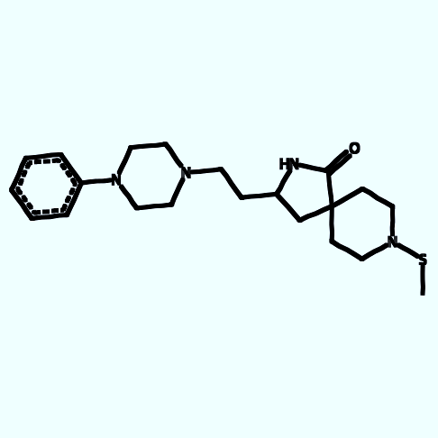 CSN1CCC2(CC1)CC(CCN1CCN(c3ccccc3)CC1)NC2=O